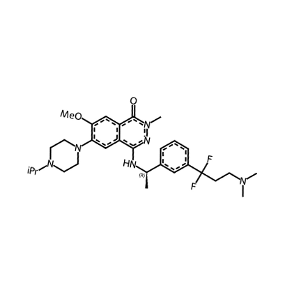 COc1cc2c(=O)n(C)nc(N[C@H](C)c3cccc(C(F)(F)CCN(C)C)c3)c2cc1N1CCN(C(C)C)CC1